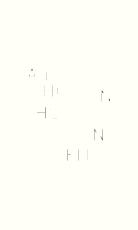 C#N.C#N.[Au].[KH]